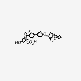 C[C@@]1(C(=O)O)C[C@@H](O)CN1C(=O)c1ccc(-c2ccc(OCC3CCN(CC4(C(F)(F)F)CCC4)CC3)nc2)cc1F